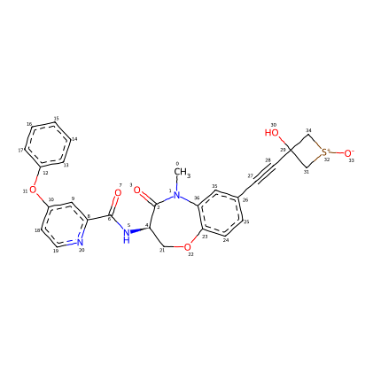 CN1C(=O)[C@H](NC(=O)c2cc(Oc3ccccc3)ccn2)COc2ccc(C#CC3(O)C[S+]([O-])C3)cc21